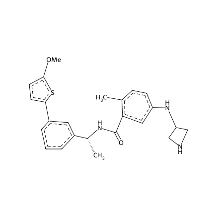 COc1ccc(-c2cccc([C@@H](C)NC(=O)c3cc(NC4CNC4)ccc3C)c2)s1